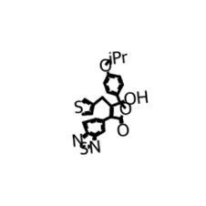 CC(C)Oc1ccc(C2(O)OC(=O)C(c3ccc4nsnc4c3)=C2Cc2ccsc2)cc1